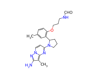 Cc1ccc(OCCCNC=O)c(C2CCCN2c2ccn3nc(N)c(C)c3n2)c1